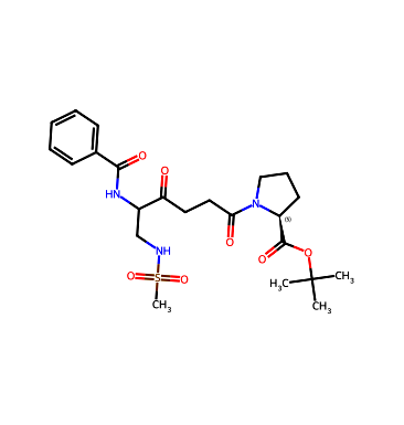 CC(C)(C)OC(=O)[C@@H]1CCCN1C(=O)CCC(=O)C(CNS(C)(=O)=O)NC(=O)c1ccccc1